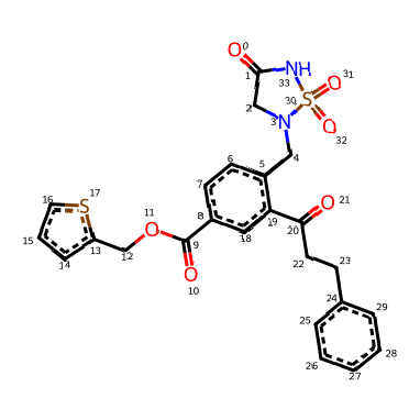 O=C1CN(Cc2ccc(C(=O)OCc3cccs3)cc2C(=O)CCc2ccccc2)S(=O)(=O)N1